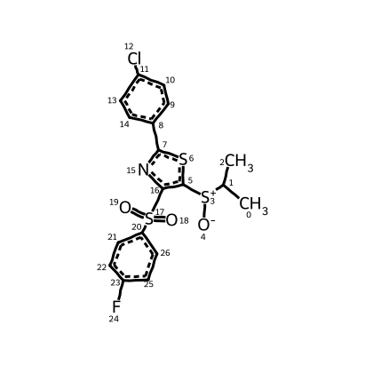 CC(C)[S+]([O-])c1sc(-c2ccc(Cl)cc2)nc1S(=O)(=O)c1ccc(F)cc1